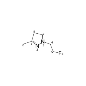 CC1=NN(CCF)CC1